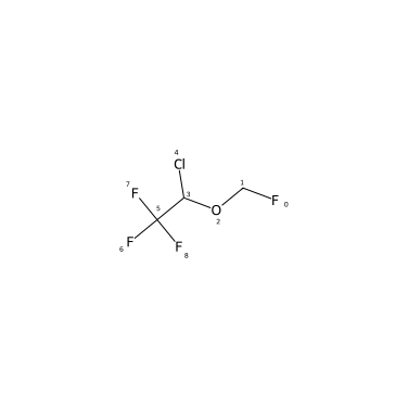 FCOC(Cl)C(F)(F)F